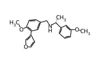 COc1cccc([C@@H](C)NCc2ccc(OC)c(-c3ccoc3)c2)c1